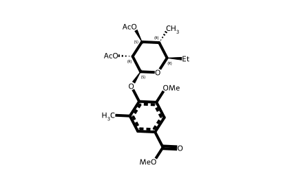 CC[C@H]1O[C@@H](Oc2c(C)cc(C(=O)OC)cc2OC)[C@H](OC(C)=O)[C@@H](OC(C)=O)[C@@H]1C